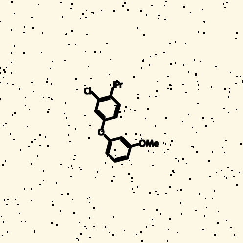 COc1cccc(Oc2ccc(C(C)C)c(Cl)c2)c1